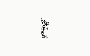 CN1CCN(CCC(=O)Nc2cc(N3CCOc4cnc(-c5cc(C6CC6)ccc5F)cc43)ccn2)CC1